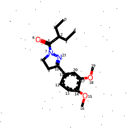 CCC(CC)C(=O)N1CCC(c2ccc(OC)c(OC)c2)=N1